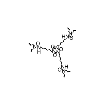 C=CCN(CC=C)C(=O)NCCCCCCn1c(=O)n(CCCCCCNC(=O)N(CC=C)CC=C)c(=O)n(CCCCCCNC(=O)N(CC=C)CC=C)c1=O